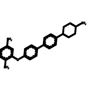 BC1CCC(c2ccc(-c3ccc(Oc4cc(N)ccc4N)cc3)cc2)CC1